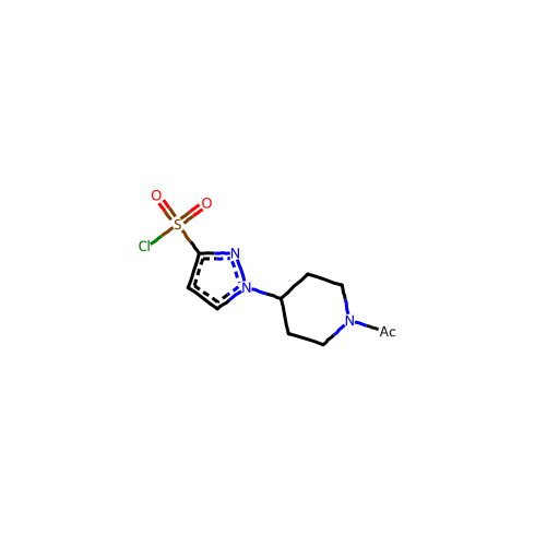 CC(=O)N1CCC(n2ccc(S(=O)(=O)Cl)n2)CC1